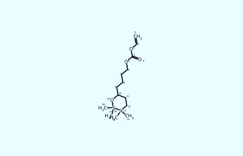 C=COC(=O)OCCCCC1CC[Si](C)(C)[Si](C)(C)O1